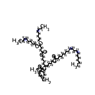 CC/C=C\CCCCOC(CCC(=O)OCCCCC(CCCCOC(=O)CCCCCCC/C=C\C/C=C\CCCCC)OC(=O)C1(C)CCN(C)CC1)OCCCC/C=C\CC